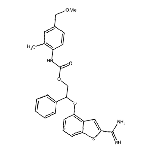 COCc1ccc(NC(=O)OCC(Oc2cccc3sc(C(=N)N)cc23)c2ccccc2)c(C)c1